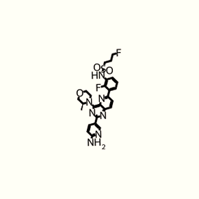 C[C@H]1COCCN1c1nc(-c2ccc(N)nc2)nc2ccc(-c3cccc(NS(=O)(=O)CCCF)c3F)nc12